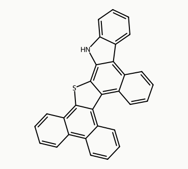 c1ccc2c(c1)[nH]c1c3sc4c5ccccc5c5ccccc5c4c3c3ccccc3c21